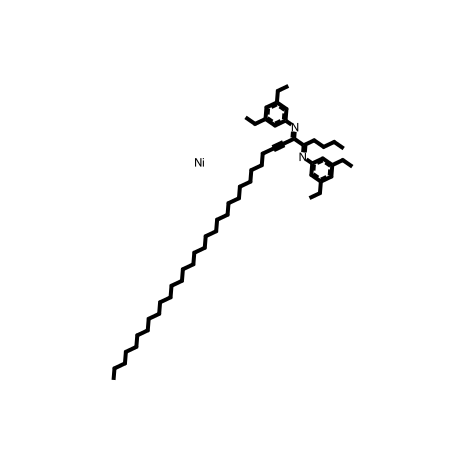 CCCCCCCCCCCCCCCCCCCCCCCCCCCCC#CC(=N\c1cc(CC)cc(CC)c1)/C(CCCC)=N/c1cc(CC)cc(CC)c1.[Ni]